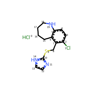 Cl.Clc1ccc2c(c1CSc1ncc[nH]1)CCCCN2